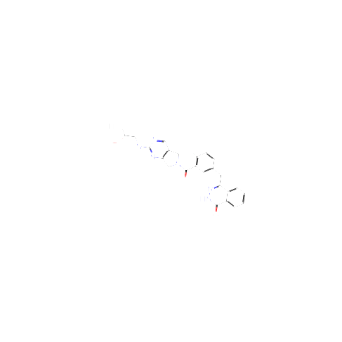 COC(C)CNc1ncc2c(n1)CN(C(=O)c1cc(Cc3n[nH]c(=O)c4ccccc34)ccc1F)C2